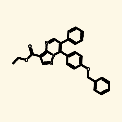 CCOC(=O)c1cnn2c(-c3ccc(OCc4ccccc4)cc3)c(-c3ccccc3)cnc12